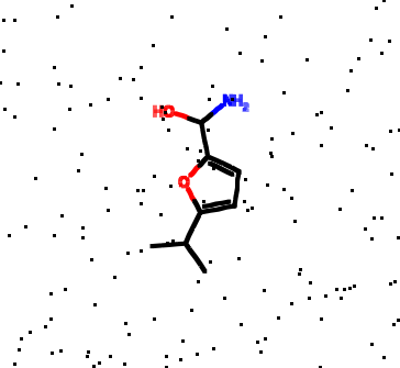 CC(C)c1ccc(C(N)O)o1